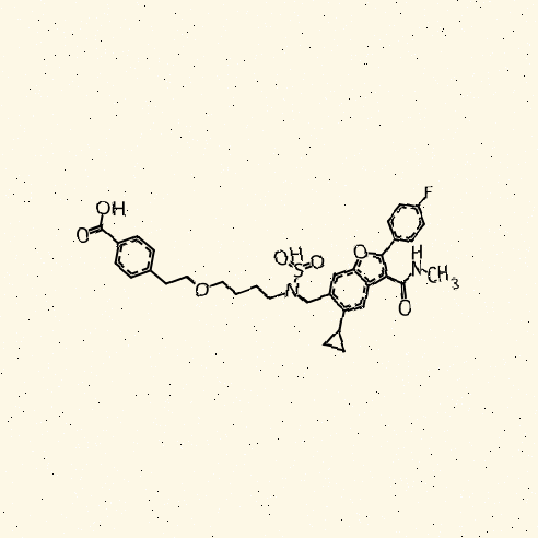 CNC(=O)c1c(-c2ccc(F)cc2)oc2cc(CN(CCCCOCCc3ccc(C(=O)O)cc3)[SH](=O)=O)c(C3CC3)cc12